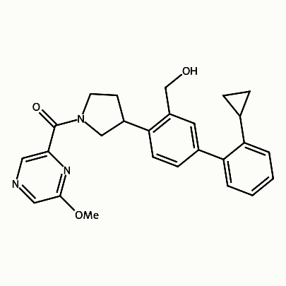 COc1cncc(C(=O)N2CCC(c3ccc(-c4ccccc4C4CC4)cc3CO)C2)n1